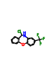 FC(F)(F)c1ccc2c(c1)NC(Cl)c1ccccc1O2